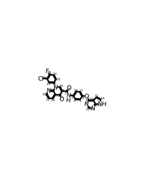 O=C(Nc1ccc(Oc2ncnc3[nH]ccc23)cc1)c1cn(-c2ccc(F)c(Cl)c2)c2ncccc2c1=O